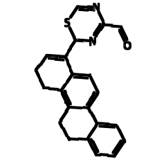 O=CC1=NC(C2=CCCc3c2ccc2c3CCc3ccccc3-2)SC=N1